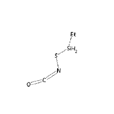 CC[SiH2]SN=C=O